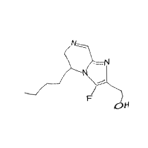 CCCCC1CN=Cc2nc(CO)c(F)n21